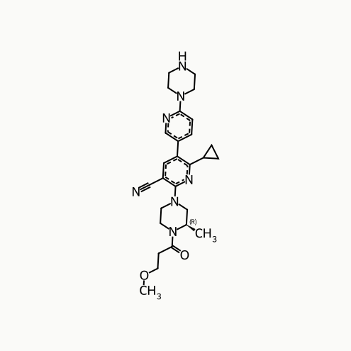 COCCC(=O)N1CCN(c2nc(C3CC3)c(-c3ccc(N4CCNCC4)nc3)cc2C#N)C[C@H]1C